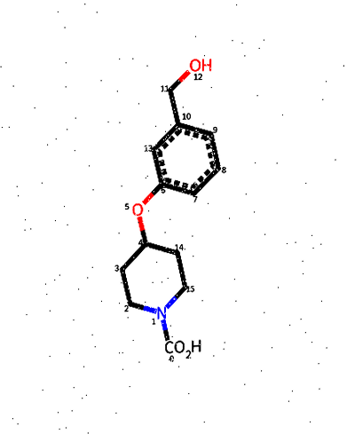 O=C(O)N1CCC(Oc2cccc(CO)c2)CC1